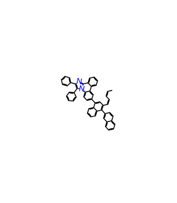 C/C=C\C=C/c1cc(-c2ccc3c(c2)c2ccccc2c2nc(-c4ccccc4)c(-c4ccccc4)n32)c2ccccc2c1-c1ccc2ccccc2c1